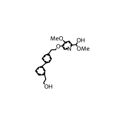 COc1cc(C(O)OC)ncc1OCCc1ccc(-c2cccc(CCO)c2)cc1